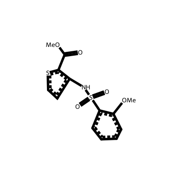 COC(=O)c1sccc1NS(=O)(=O)c1ccccc1OC